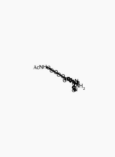 CC(=O)NCCOCCOCCOCCOCCOCCC(=O)N1CCc2cc(Cn3nc(-c4ccc5ocnc5c4)c4c(N)ncnc43)ccc2C1